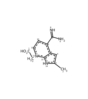 CC(=O)O.Cc1cc2c(C(=N)N)ccnc2[nH]1